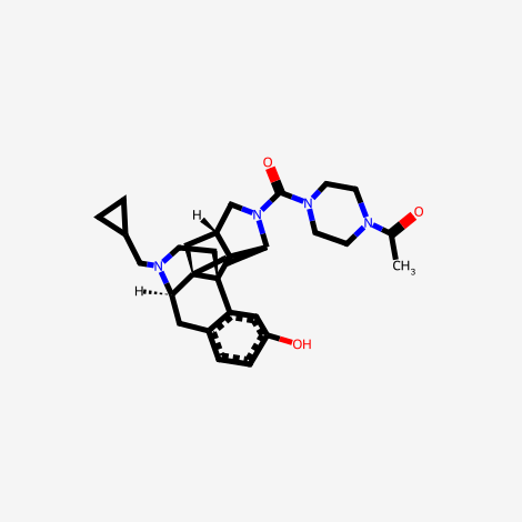 CC(=O)N1CCN(C(=O)N2C[C@H]3C[C@@]45CCC2C3[C@@]42CCN(CC3CC3)[C@@H]5Cc3ccc(O)cc32)CC1